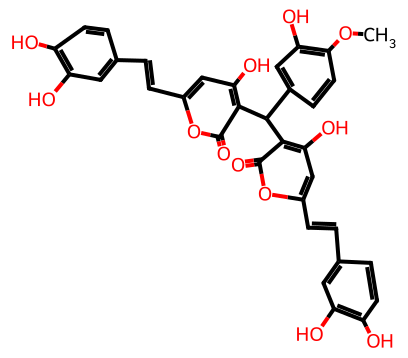 COc1ccc(C(c2c(O)cc(C=Cc3ccc(O)c(O)c3)oc2=O)c2c(O)cc(C=Cc3ccc(O)c(O)c3)oc2=O)cc1O